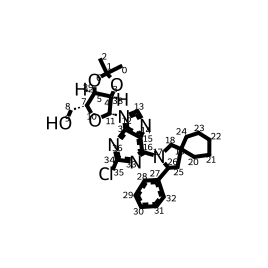 CC1(C)O[C@@H]2[C@H](O1)[C@@H](CO)O[C@H]2n1cnc2c(N3CC4(CCCCC4)CC3c3ccccc3)nc(Cl)nc21